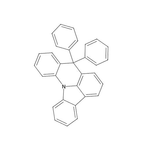 c1ccc(C2(c3ccccc3)c3ccccc3-n3c4ccccc4c4cccc2c43)cc1